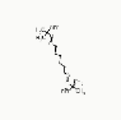 CCCC(C)(C)OOCCCCCCOOC(C)(C)CCC